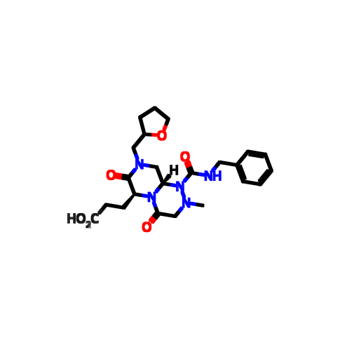 CN1CC(=O)N2[C@@H](CCC(=O)O)C(=O)N(CC3CCCO3)C[C@@H]2N1C(=O)NCc1ccccc1